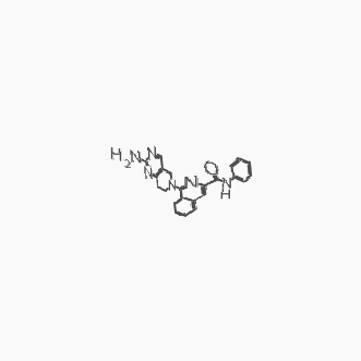 Nc1ncc2c(n1)CCN(c1nc(C(=O)Nc3ccccc3)cc3ccccc13)C2